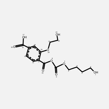 O=C(OCCCCO)OC(=O)c1ccc(C(=O)O)cc1OCCO